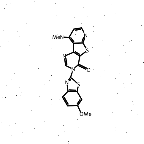 CNc1ccnc2sc3c(=O)n(-c4nc5ccc(OC)cc5s4)cnc3c12